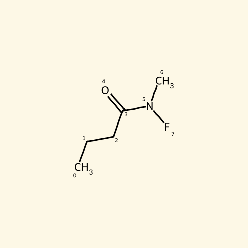 CCCC(=O)N(C)F